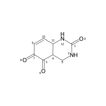 O=C1N[C]C2C(=O)C(=O)C=CC2N1